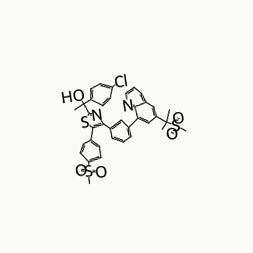 CC(O)(c1ccc(Cl)cc1)c1nc(-c2cccc(-c3cc(C(C)(C)S(C)(=O)=O)cc4cccnc34)c2)c(-c2ccc(S(C)(=O)=O)cc2)s1